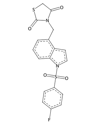 O=C1CSC(=O)N1Cc1cccc2c1ccn2S(=O)(=O)c1ccc(F)cc1